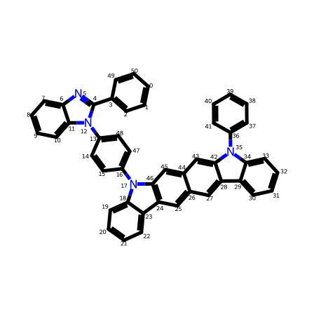 c1ccc(-c2nc3ccccc3n2-c2ccc(-n3c4ccccc4c4cc5cc6c7ccccc7n(-c7ccccc7)c6cc5cc43)cc2)cc1